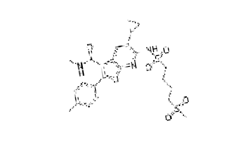 CNC(=O)c1c(-c2ccc(C)cc2)oc2nc(NS(=O)(=O)CCCCS(C)(=O)=O)c(C3CC3)cc12